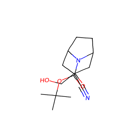 CC(C)(C)OC(=O)N1C2CCC1CC(C#N)(CO)C2